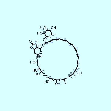 C[C@@H]1[C@H](O)[C@@H](C)/C=C/C=C/C=C/C=C/C=C/C=C/C=C/[C@H](O[C@@H]2O[C@H](C)[C@@H](O)[C@H](N)[C@@H]2O)CC2O[C@](O)(CC(O)CC(O)[C@H](O)CC[C@@H](O)CC(O)CC(=O)O[C@H]1C)CC1OC(=O)N[C@H]12